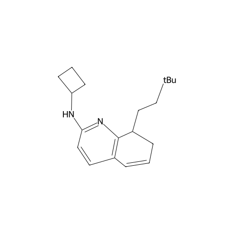 CC(C)(C)CCC1CC=Cc2ccc(NC3CCC3)nc21